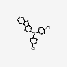 Clc1ccc(N(c2ccc(Cl)cc2)c2ccc3c(c2)sc2ccccc23)cc1